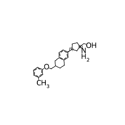 Cc1cccc(OCC2CCc3cc([C@H]4CC[C@](N)(CO)C4)ccc3C2)c1